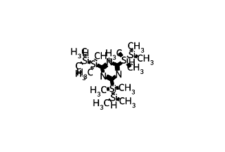 C[SiH](C)[Si](C)(C)c1nc([Si](C)(C)[SiH](C)C)nc([Si](C)(C)[SiH](C)C)n1